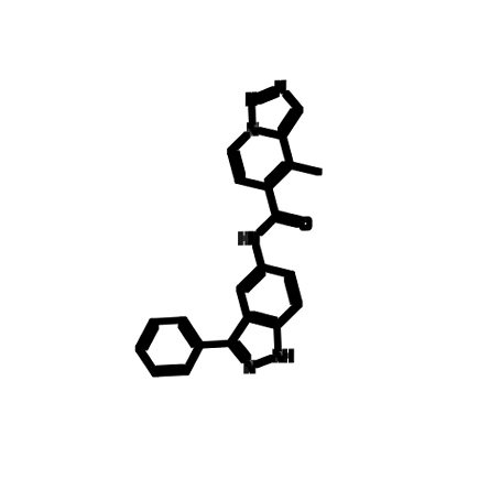 Cc1c(C(=O)Nc2ccc3[nH]nc(-c4ccccc4)c3c2)ccn2nncc12